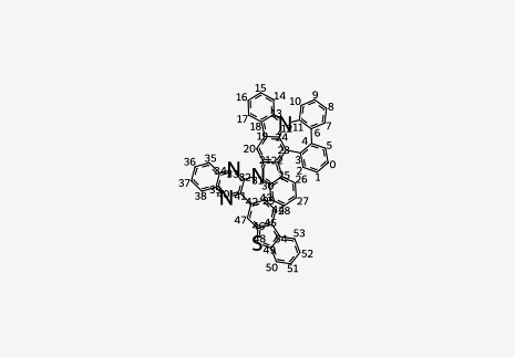 c1ccc2c(c1)-c1ccccc1-n1c3ccccc3c3cc4c(c-2c31)c1ccccc1n4-c1nc2ccccc2nc1-c1ccc2c(c1)sc1ccccc12